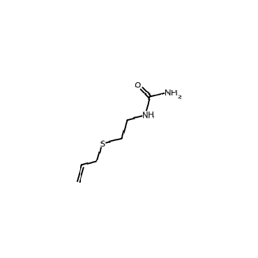 C=CCSCCNC(N)=O